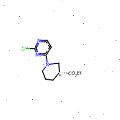 CCOC(=O)[C@@H]1CCCN(c2ccnc(Cl)n2)C1